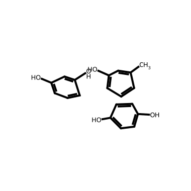 Cc1cccc(O)c1.Oc1ccc(O)cc1.Oc1cccc(O)c1